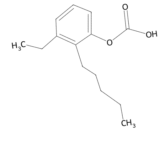 CCCCCc1c(CC)cccc1OC(=O)O